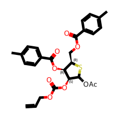 C=CCOC(=O)O[C@@H]1C(OC(C)=O)S[C@H](COC(=O)c2ccc(C)cc2)[C@@H]1OC(=O)c1ccc(C)cc1